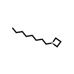 CCCCCCCCN1CCC1